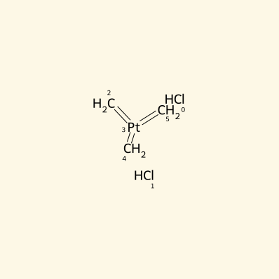 Cl.Cl.[CH2]=[Pt](=[CH2])=[CH2]